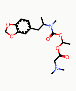 CC(OC(=O)CN(C)C)OC(=O)N(C)C(C)Cc1ccc2c(c1)OCO2